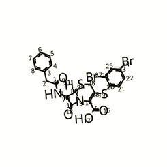 O=C(Cc1ccccc1)N[C@@H]1C(=O)N2C(C(=O)O)=C(Sc3ccc(Br)cc3Br)CS[C@H]12